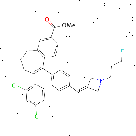 COC(=O)c1ccc2c(c1)CCCC(c1ccc(Cl)cc1Cl)=C2c1ccc(C=C2CN(CCCF)C2)cc1